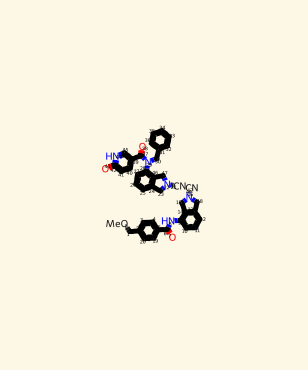 COCc1ccc(C(=O)Nc2cccc3c2CN(C#N)C3)cc1.N#CN1Cc2cccc(N(Cc3ccccc3)C(=O)c3ccc(=O)[nH]c3)c2C1